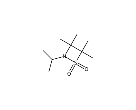 CC(C)N1C(C)(C)C(C)(C)S1(=O)=O